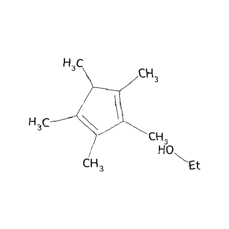 CC1=C(C)C(C)C(C)=C1C.CCO